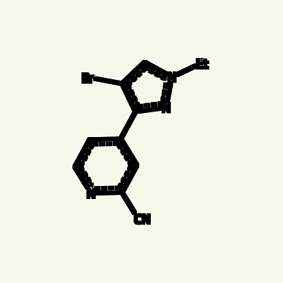 CCn1cc(Br)c(-c2ccnc(C#N)c2)n1